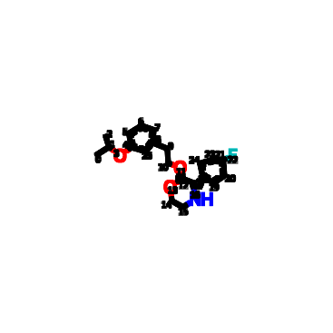 CC(C)Oc1cccc(CCO[C@@H]2OCCN[C@H]2c2ccc(F)cc2)c1